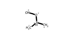 C[SiH](C)ON=O